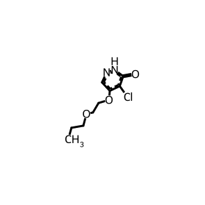 CCCOCCOc1cn[nH]c(=O)c1Cl